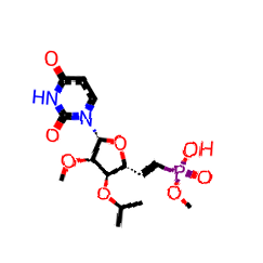 CO[C@@H]1[C@H](OC(C)C)[C@@H](/C=C/P(=O)(O)OC)O[C@H]1n1ccc(=O)[nH]c1=O